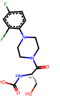 O=C(O)N[C@@H](CO)C(=O)N1CCN(c2ccc(F)cc2F)CC1